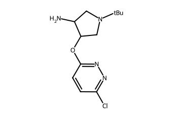 CC(C)(C)N1CC(N)C(Oc2ccc(Cl)nn2)C1